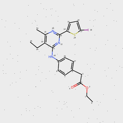 CCOC(=O)Cc1ccc(Nc2nc(-c3ccc(I)s3)nc(C)c2CC)cc1